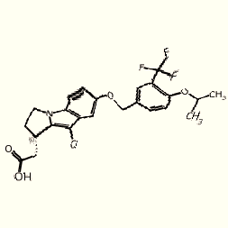 CC(C)Oc1ccc(COc2ccc3c(c2)c(Cl)c2n3CC[C@H]2CC(=O)O)cc1C(F)(F)F